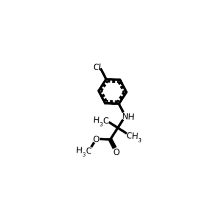 COC(=O)C(C)(C)Nc1ccc(Cl)cc1